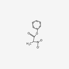 CC(C(=O)Oc1ccccc1)[N+](=O)[O-]